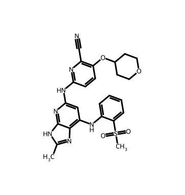 Cc1nc2c(Nc3ccccc3S(C)(=O)=O)cc(Nc3ccc(OC4CCOCC4)c(C#N)n3)nc2[nH]1